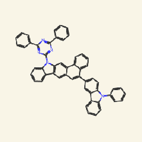 c1ccc(-c2nc(-c3ccccc3)nc(-n3c4ccccc4c4cc5cc(-c6ccc7c(c6)c6ccccc6n7-c6ccccc6)c6ccccc6c5cc43)n2)cc1